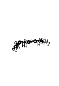 CC(C)(C)OC(=O)NC[C@H]1CC[C@H](COc2ccc(NC(=O)NCc3ccc4c(c3)CN(C3CCC(=O)NC3=O)C4=O)cc2)CC1